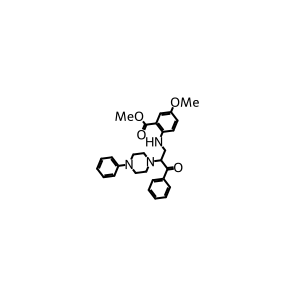 COC(=O)c1cc(OC)ccc1NCC(C(=O)c1ccccc1)N1CCN(c2ccccc2)CC1